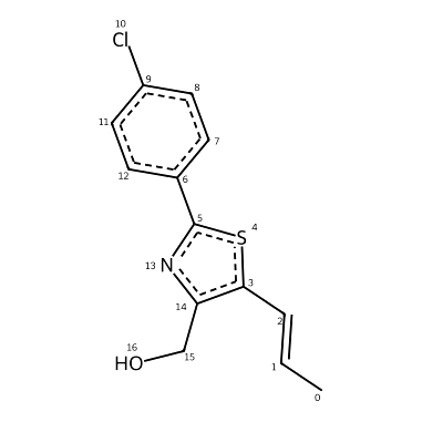 CC=Cc1sc(-c2ccc(Cl)cc2)nc1CO